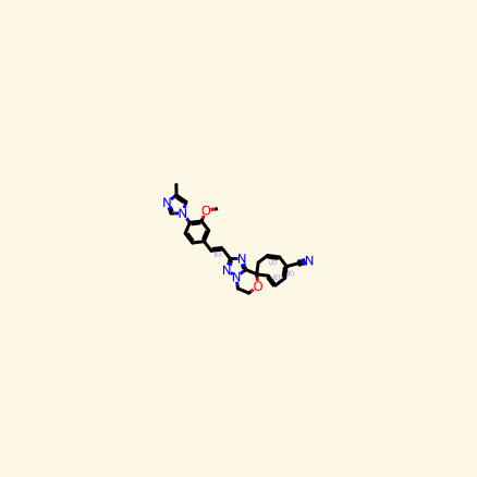 COc1cc(/C=C/c2nc3n(n2)CCOC32/C=C/C=C(C#N)\C=C/C2)ccc1-n1cnc(C)c1